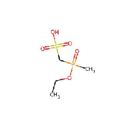 CCOP(C)(=O)CS(=O)(=O)O